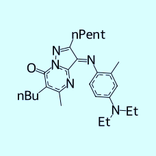 CCCCCC1=Nn2c(nc(C)c(CCCC)c2=O)C1=Nc1ccc(N(CC)CC)cc1C